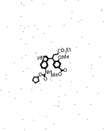 CCOC(=O)CCC(c1ccc(C(=O)OC)cc1OC)c1c[nH]c2ccc(NC(=O)OC3CCCC3)cc12